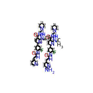 CCNc1nc(-c2ccc(NC(=O)/C=C/c3ccc(N)nc3)c(F)c2)ccc1C(=O)NCCN1CCCCC1.CCNc1nc(-c2ccc(NC(=O)/C=C/c3cccnc3)c(F)c2)ccc1C(=O)NCCN1CCCCC1